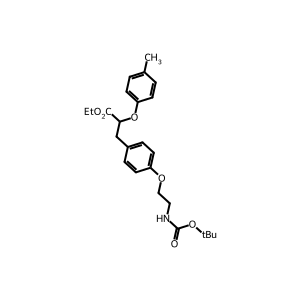 CCOC(=O)C(Cc1ccc(OCCNC(=O)OC(C)(C)C)cc1)Oc1ccc(C)cc1